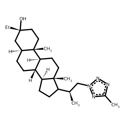 CC[C@@]1(O)CC[C@@]2(C)[C@@H](CC[C@@H]3[C@@H]2CC[C@]2(C)C([C@H](C)Cn4nnc(C)n4)CC[C@@H]32)C1